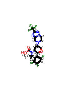 CC(C)(C)N(C(=O)O)[C@H]1C[C@@H](N2CCn3nc(C(F)(F)F)nc3C2)CO[C@@H]1c1cc(F)c(F)cc1F